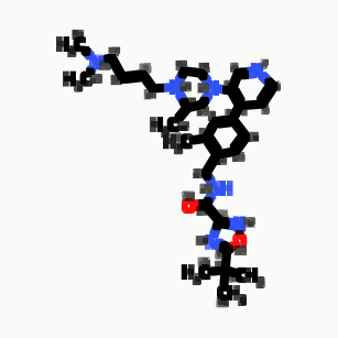 Cc1cc(-c2ccncc2N2CCN(CC=CCN(C)C)C(C)C2)ccc1CNC(=O)c1noc(C(C)(C)C)n1